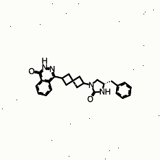 O=C1N[C@@H](Cc2ccccc2)CN1C1CC2(CC(c3n[nH]c(=O)c4ccccc34)C2)C1